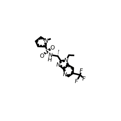 CCn1c([C@@H](C)NS(=O)(=O)c2cccn2C)nc2ncc(C(F)(F)F)cc21